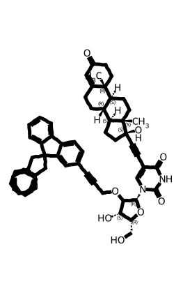 C[C@]12CCC(=O)C=C1CC[C@@H]1[C@@H]2CC[C@@]2(C)[C@H]1CC[C@@]2(O)C#Cc1cn([C@@H]2O[C@H](CO)[C@H](O)C2OCC#Cc2ccc3c(c2)C(Cc2ccccc2)(Cc2ccccc2)c2ccccc2-3)c(=O)[nH]c1=O